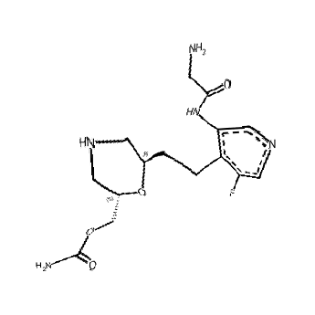 NCC(=O)Nc1cncc(F)c1CC[C@@H]1CNC[C@@H](COC(N)=O)O1